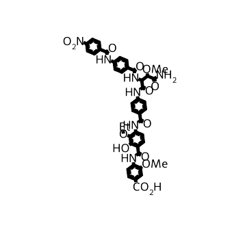 CCOc1c(NC(=O)c2ccc(NC(=O)C(NC(=O)c3ccc(NC(=O)c4ccc([N+](=O)[O-])cc4)cc3)C(OC)C(N)=O)cc2)ccc(C(=O)Nc2ccc(C(=O)O)cc2OC)c1O